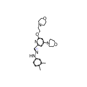 Cc1ccc(N/N=C/c2cc(N3CCOCC3)cc(OCCN3CCOCC3)n2)cc1C